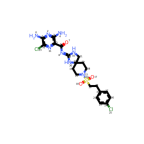 Nc1nc(N)c(C(=O)/N=C2\NCC3(CCN(S(=O)(=O)CCc4ccc(Cl)cc4)CC3)N2)nc1Cl